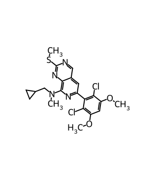 COc1cc(OC)c(Cl)c(-c2cc3cnc(SC)nc3c(N(C)CC3CC3)n2)c1Cl